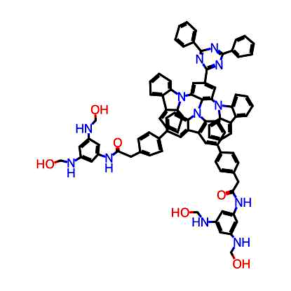 O=C(Cc1ccc(-c2ccc3c(c2)c2cc(-c4ccc(CC(=O)Nc5cc(NCO)cc(NCO)c5)cc4)ccc2n3-c2c(-n3c4ccccc4c4ccccc43)cc(-c3nc(-c4ccccc4)nc(-c4ccccc4)n3)cc2-n2c3ccccc3c3ccccc32)cc1)Nc1cc(NCO)cc(NCO)c1